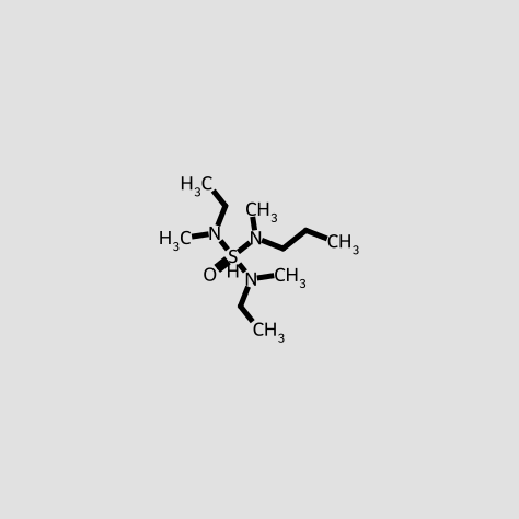 CCCN(C)[SH](=O)(N(C)CC)N(C)CC